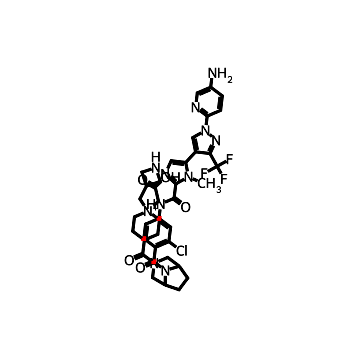 Cn1c(-c2cn(-c3ccc(N)cn3)nc2C(F)(F)F)cnc1C(=O)Nc1ccc(C(=O)N2C3CCC2CN(C(=O)C2CC[N+](CC(=O)O)(CC4CNC4)CC2)C3)c(Cl)c1